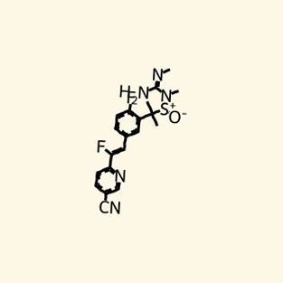 C/N=C(/N)N(C)[S+]([O-])C(C)(C)c1cc(/C=C(\F)c2ccc(C#N)cn2)ccc1F